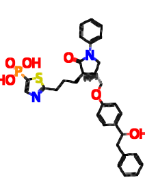 O=C1[C@H](CCCc2ncc(P(=O)(O)O)s2)[C@@H](COc2ccc(C(O)Cc3ccccc3)cc2)CN1c1ccccc1